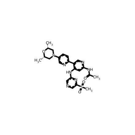 CC(=O)Nc1cc(Nc2cncc(S(C)(=O)=O)n2)c(-c2ccc(N3C[C@@H](C)O[C@@H](C)C3)cn2)cn1